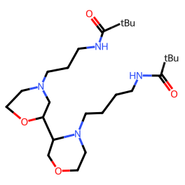 CC(C)(C)C(=O)NCCCCN1CCOCC1C1CN(CCCNC(=O)C(C)(C)C)CCO1